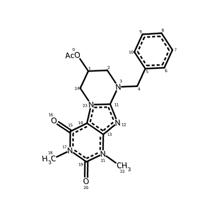 CC(=O)OC1CN(Cc2ccccc2)c2nc3c(c(=O)n(C)c(=O)n3C)n2C1